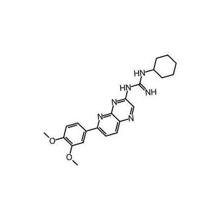 COc1ccc(-c2ccc3ncc(NC(=N)NC4CCCCC4)nc3n2)cc1OC